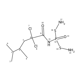 CC(C)C(C)CC(Cl)(Cl)C(=O)NP(=O)(SN)SN